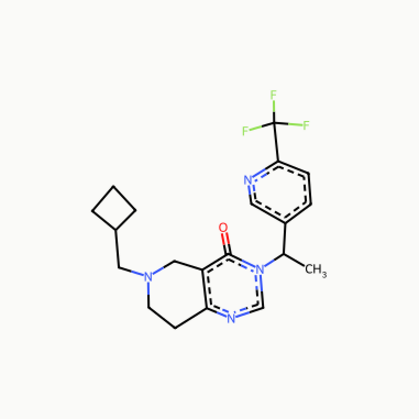 CC(c1ccc(C(F)(F)F)nc1)n1cnc2c(c1=O)CN(CC1CCC1)CC2